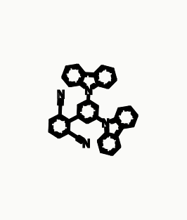 N#Cc1cccc(C#N)c1-c1cc(-n2c3ccccc3c3ccccc32)cc(-n2c3ccccc3c3ccccc32)c1